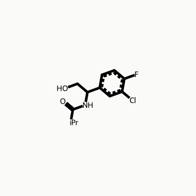 CC(C)C(=O)NC(CO)c1ccc(F)c(Cl)c1